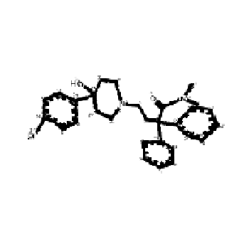 CN(C)C(=O)C(CCN1CCC(O)(c2ccc(Br)cc2)CC1)(c1ccccc1)c1ccccc1